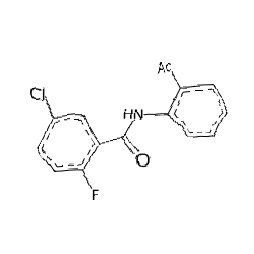 CC(=O)c1ccccc1NC(=O)c1cc(Cl)ccc1F